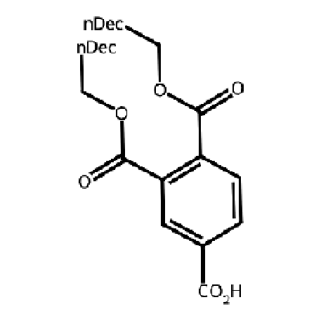 CCCCCCCCCCCOC(=O)c1ccc(C(=O)O)cc1C(=O)OCCCCCCCCCCC